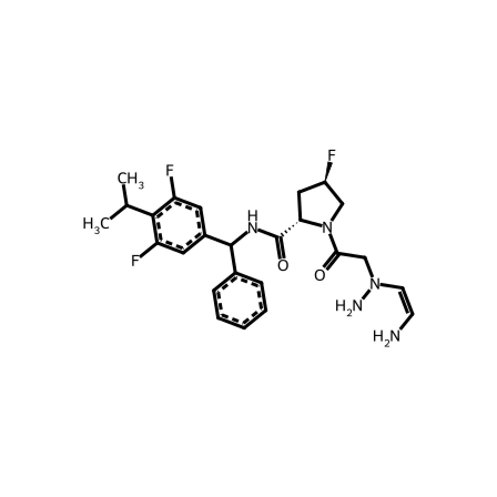 CC(C)c1c(F)cc(C(NC(=O)[C@@H]2C[C@@H](F)CN2C(=O)CN(N)/C=C\N)c2ccccc2)cc1F